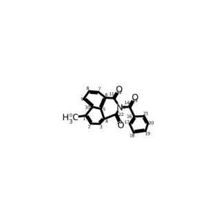 Cc1ccc2c3c(cccc13)C(=O)N(C(=O)c1ccccc1)C2=O